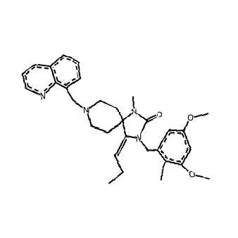 CC/C=C1\N(Cc2cc(OC)cc(OC)c2C)C(=O)N(C)C12CCN(Cc1cccc3cccnc13)CC2